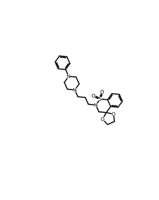 O=S1(=O)c2ccccc2C2(CN1CCCN1CCN(c3ccccc3)CC1)OCCO2